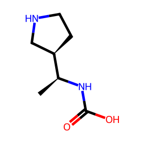 C[C@H](NC(=O)O)[C@@H]1CCNC1